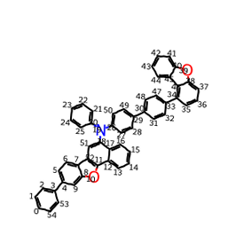 c1ccc(-c2ccc3c(c2)oc2c4ccccc4c(N(c4ccccc4)c4ccc(-c5ccc(-c6cccc7oc8ccccc8c67)cc5)cc4)cc32)cc1